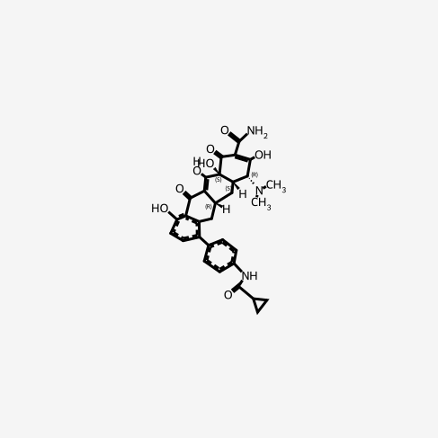 CN(C)[C@H]1C(O)=C(C(N)=O)C(=O)[C@@]2(O)C(O)=C3C(=O)c4c(O)ccc(-c5ccc(NC(=O)C6CC6)cc5)c4C[C@H]3C[C@@H]12